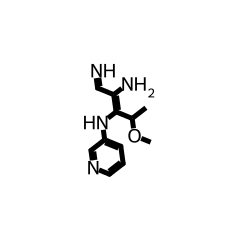 COC(C)/C(Nc1cccnc1)=C(\N)C=N